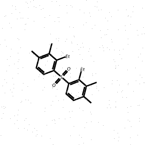 CCc1c(S(=O)(=O)c2ccc(C)c(C)c2CC)ccc(C)c1C